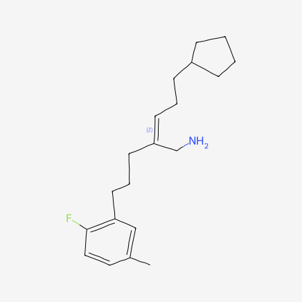 Cc1ccc(F)c(CCC/C(=C/CCC2CCCC2)CN)c1